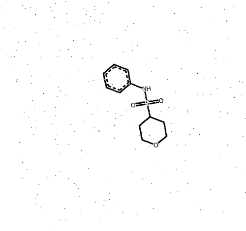 O=S(=O)(Nc1ccccc1)C1CCOCC1